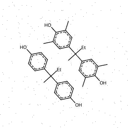 CCC(C)(c1cc(C)c(O)c(C)c1)c1cc(C)c(O)c(C)c1.CCC(C)(c1ccc(O)cc1)c1ccc(O)cc1